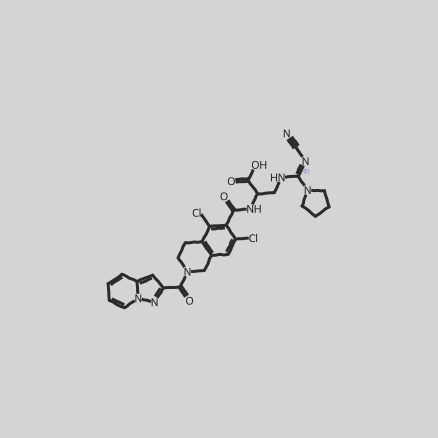 N#C/N=C(\NCC(NC(=O)c1c(Cl)cc2c(c1Cl)CCN(C(=O)c1cc3ccccn3n1)C2)C(=O)O)N1CCCC1